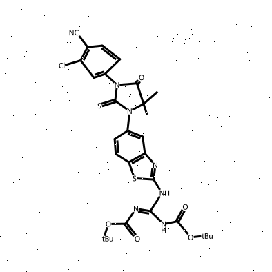 CC(C)(C)OC(=O)/N=C(\NC(=O)OC(C)(C)C)Nc1nc2cc(N3C(=S)N(c4ccc(C#N)c(Cl)c4)C(=O)C3(C)C)ccc2s1